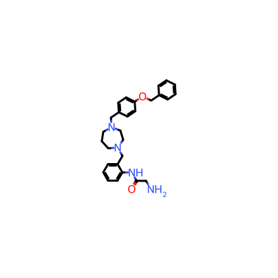 NCC(=O)Nc1ccccc1CN1CCCN(Cc2ccc(OCc3ccccc3)cc2)CC1